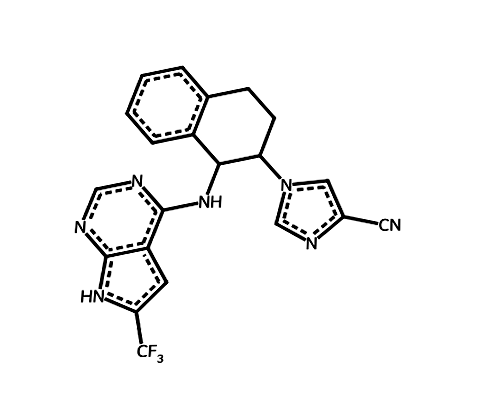 N#Cc1cn(C2CCc3ccccc3C2Nc2ncnc3[nH]c(C(F)(F)F)cc23)cn1